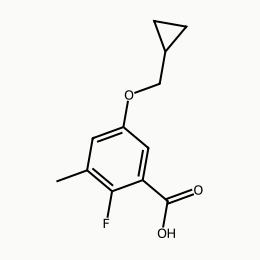 Cc1cc(OCC2CC2)cc(C(=O)O)c1F